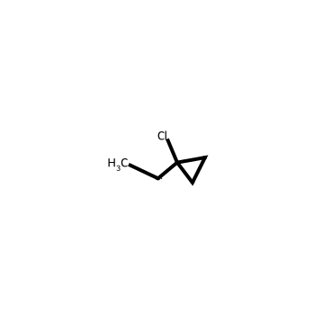 C[CH]C1(Cl)CC1